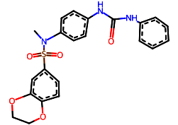 CN(c1ccc(NC(=O)Nc2ccccc2)cc1)S(=O)(=O)c1ccc2c(c1)OCCO2